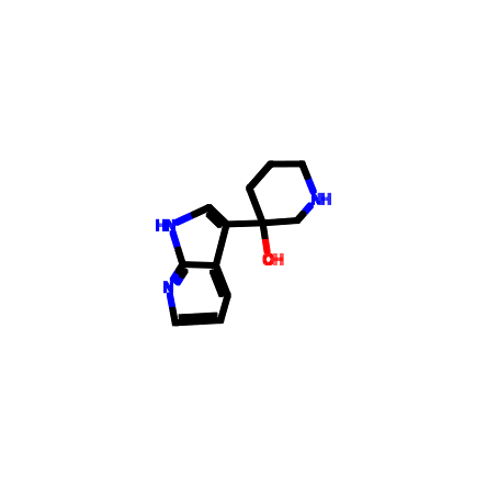 OC1(c2c[nH]c3ncccc23)CCCNC1